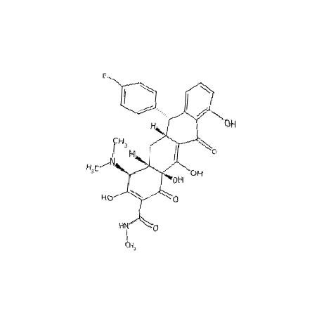 CNC(=O)C1=C(O)[C@@H](N(C)C)[C@@H]2C[C@H]3C(=C(O)[C@]2(O)C1=O)C(=O)c1c(O)cccc1[C@H]3c1ccc(F)cc1